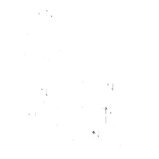 Cc1nc(C)c(-c2cc(C(=O)N3CC(c4ccc(C#N)cc4)C3)c(C)cc2N2CCC2)[nH]1